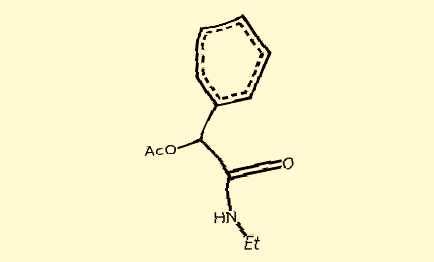 CCNC(=O)C(OC(C)=O)c1ccccc1